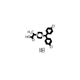 CC(C(=O)O)N1CCN(C(c2ccc(Cl)cc2)c2ccc(Cl)cc2)CC1.Cl.Cl